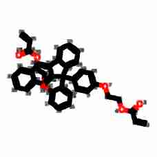 C=CC(=O)OCCOc1ccc(C2(c3ccccc3OCCOC(=O)C=C)c3ccccc3-c3cc4ccccc4cc32)cc1